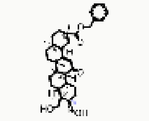 C[C@]1(C(=O)OCc2ccccc2)CC[C@]2(C)CC[C@]3(C)C(=CC(=O)[C@@H]4[C@@]5(C)CC/C(=N\O)[C@@](C)(CO)[C@@H]5CC[C@]43C)[C@@H]2C1